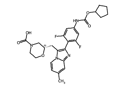 Cc1ccn2c(C[C@H]3CN(C(=O)O)CCO3)c(-c3c(F)cc(NC(=O)OC4CCCC4)cc3F)nc2c1